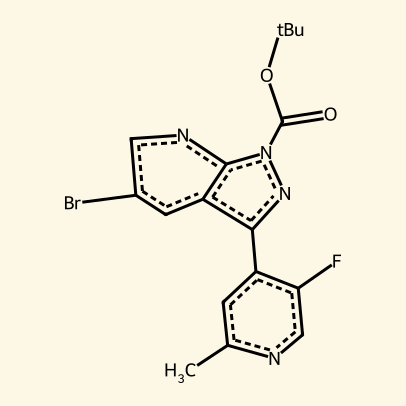 Cc1cc(-c2nn(C(=O)OC(C)(C)C)c3ncc(Br)cc23)c(F)cn1